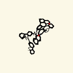 c1ccc2c(c1)Oc1ccccc1C21c2cc(N(c3ccc4c5ccccc5n(-c5ccc6c(c5)sc5ccccc56)c4c3)c3cccc4ccccc34)ccc2-c2cccc3cccc1c23